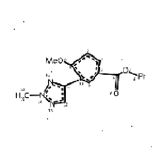 COc1ccc(C(=O)OC(C)C)cc1-c1cnn(C)n1